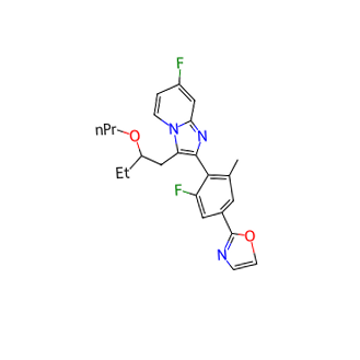 CCCOC(CC)Cc1c(-c2c(C)cc(-c3ncco3)cc2F)nc2cc(F)ccn12